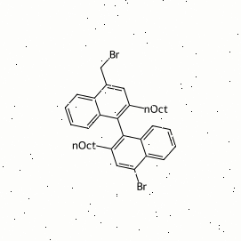 CCCCCCCCc1cc(Br)c2ccccc2c1-c1c(CCCCCCCC)cc(CBr)c2ccccc12